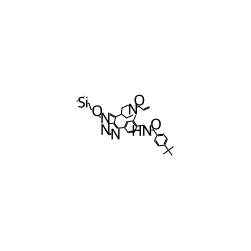 C=CC(=O)N1CCC(c2cn(COCC[Si](C)(C)C)c3ncnc(-c4ccc(CNC(=O)c5ccc(C(C)(C)C)cc5)c(C)c4)c23)CC1